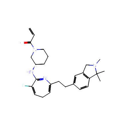 C=CC(=O)N1CCC[C@@H](NC2=NC(CCc3ccc4c(c3)CN(C)C4(C)C)=CCC=C2F)C1